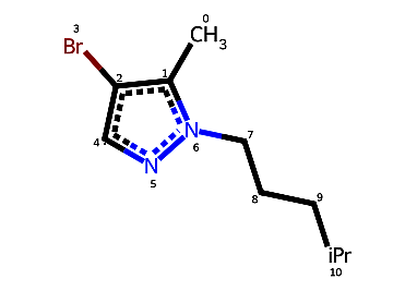 Cc1c(Br)[c]nn1CCCC(C)C